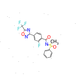 CS(=O)(=NC(=O)c1ccc(-c2noc(C(F)(F)F)n2)cc1F)c1ccccc1